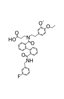 CCOc1ccc(CCN(CCC(=O)O)C(=O)c2ccccc2-c2ccccc2C(=O)NCc2cccc(F)c2)cc1OC